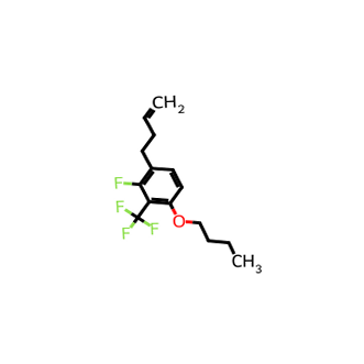 C=CCCc1ccc(OCCCC)c(C(F)(F)F)c1F